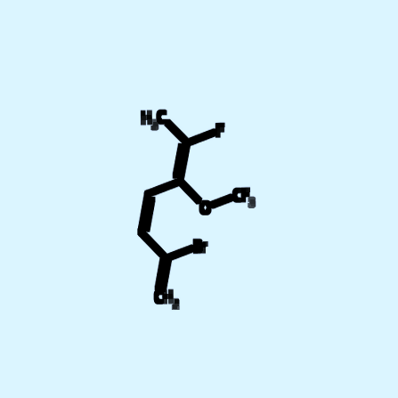 C=C(Br)/C=C\C(OC(F)(F)F)=C(/C)F